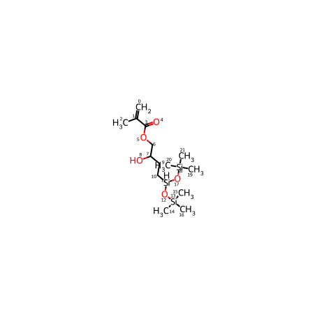 C=C(C)C(=O)OCC(O)CC[SiH](O[Si](C)(C)C)O[Si](C)(C)C